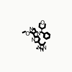 CCOC1=C2c3ncc(-c4c(C)nnn4C)cc3N([C@H](c3ccccc3)C3CCOCC3)C2C=N1